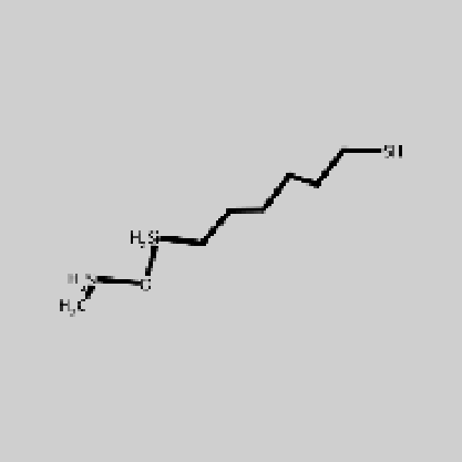 C[SiH2]O[SiH2]CCCCCCS